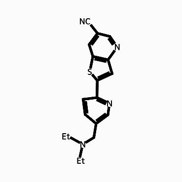 CCN(CC)Cc1ccc(-c2cc3ncc(C#N)cc3s2)nc1